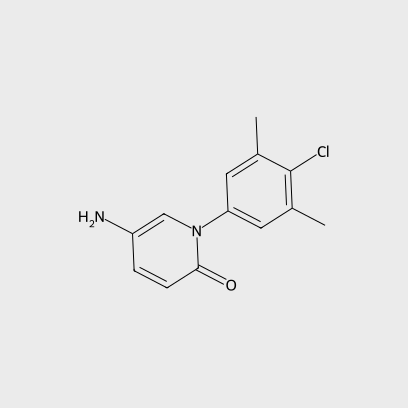 Cc1cc(-n2cc(N)ccc2=O)cc(C)c1Cl